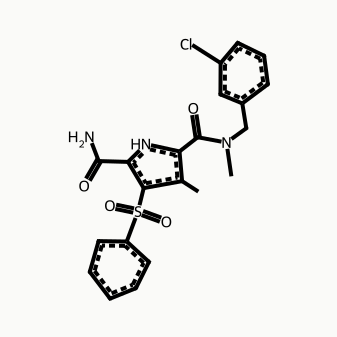 Cc1c(C(=O)N(C)Cc2cccc(Cl)c2)[nH]c(C(N)=O)c1S(=O)(=O)c1ccccc1